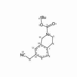 CC(C)(C)OC(=O)N1CCc2ccc(CC#N)cc2C1